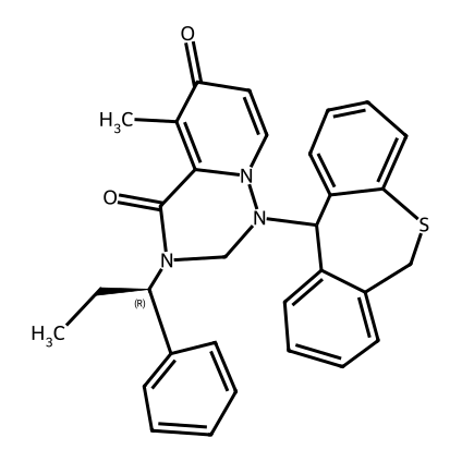 CC[C@H](c1ccccc1)N1CN(C2c3ccccc3CSc3ccccc32)n2ccc(=O)c(C)c2C1=O